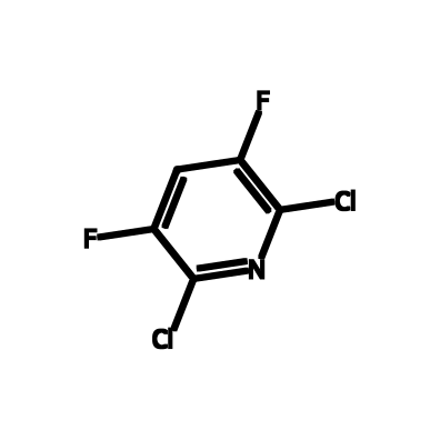 Fc1cc(F)c(Cl)nc1Cl